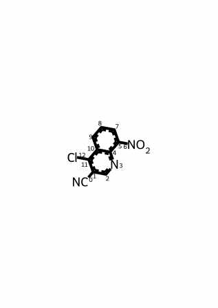 N#Cc1cnc2c([N+](=O)[O-])cccc2c1Cl